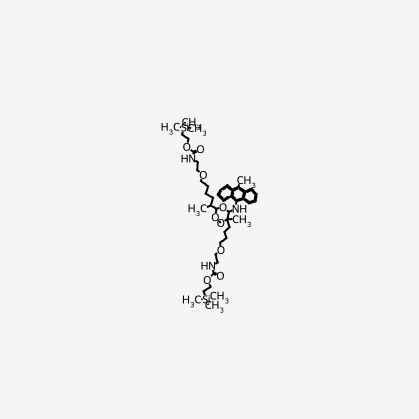 Cc1c2ccccc2c(NC2OC(C(C)CCCCOCCNC(=O)OCC[Si](C)(C)C)OOC2(C)CCCCOCCNC(=O)OCC[Si](C)(C)C)c2ccccc12